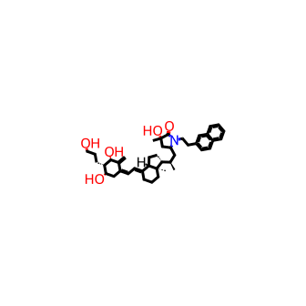 C=C1/C(=C\C=C2/CCC[C@]3(C)[C@@H]([C@H](C)CC4CC(C)(O)C(=O)N4CCc4ccc5ccccc5c4)CC[C@@H]23)C[C@@H](O)[C@H](CCCO)[C@@H]1O